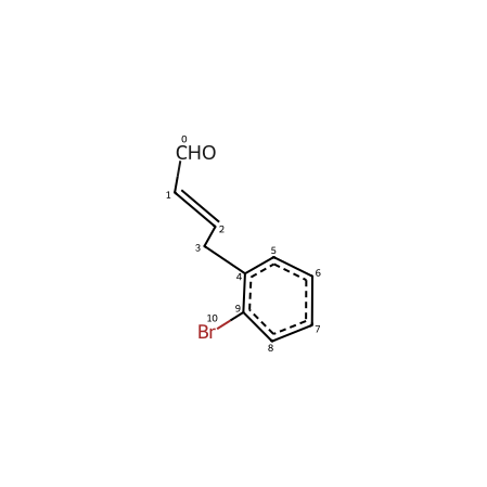 O=C/C=C/Cc1ccccc1Br